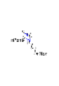 CCCCCCCCCCCCCCN1C=CN(C)C1CCCCC